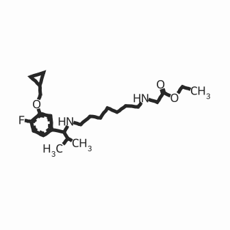 CCOC(=O)CNCCCCCCCNC(c1ccc(F)c(OCC2CC2)c1)C(C)C